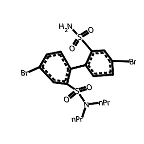 CCCN(CCC)S(=O)(=O)c1cc(Br)ccc1-c1ccc(Br)cc1S(N)(=O)=O